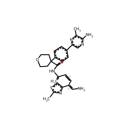 C=C(/C=C\C(=C/N)c1csc(C)n1)NC(=O)C1(c2ccc(-c3cnc(N)c(C)n3)cc2)CCOCC1